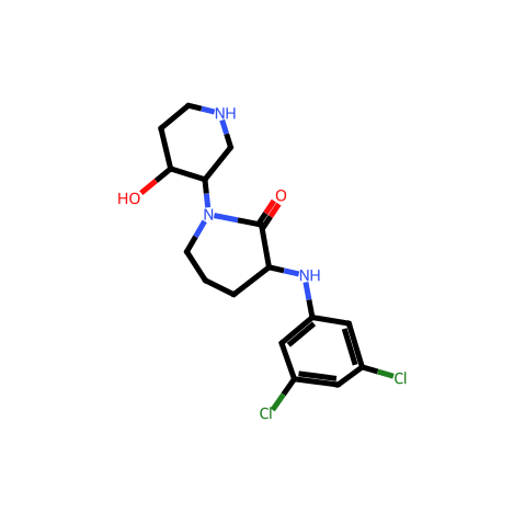 O=C1C(Nc2cc(Cl)cc(Cl)c2)CCCN1C1CNCCC1O